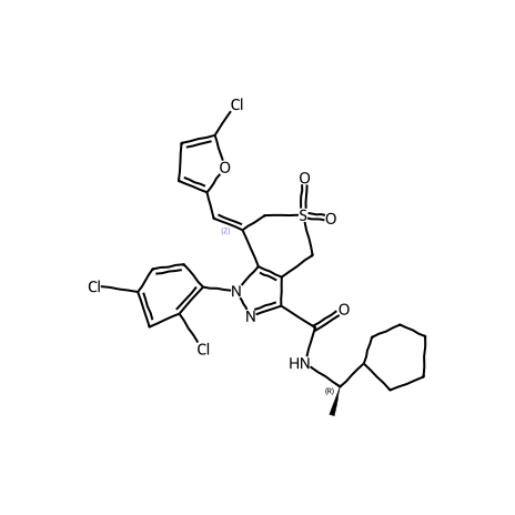 C[C@@H](NC(=O)c1nn(-c2ccc(Cl)cc2Cl)c2c1CS(=O)(=O)C/C2=C\c1ccc(Cl)o1)C1CCCCC1